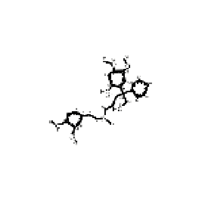 COc1ccc(CCN(C)CCCC(CO)(c2ccccc2)c2cc(OC)c(OC)cc2O)cc1OC